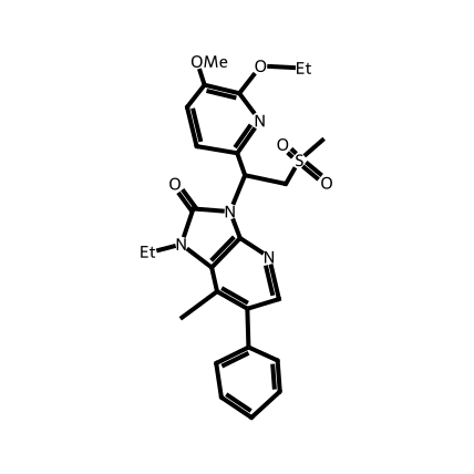 CCOc1nc(C(CS(C)(=O)=O)n2c(=O)n(CC)c3c(C)c(-c4ccccc4)cnc32)ccc1OC